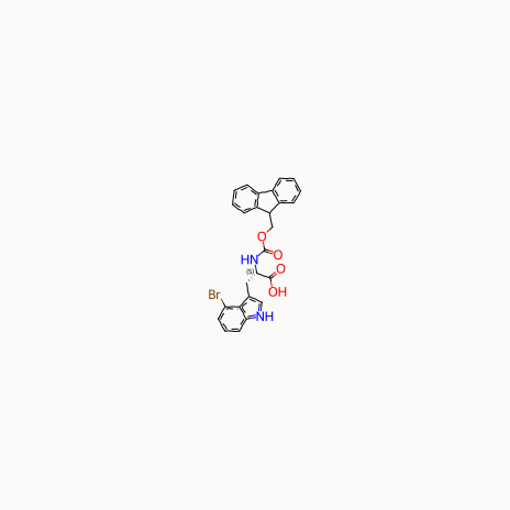 O=C(N[C@@H](Cc1c[nH]c2cccc(Br)c12)C(=O)O)OCC1c2ccccc2-c2ccccc21